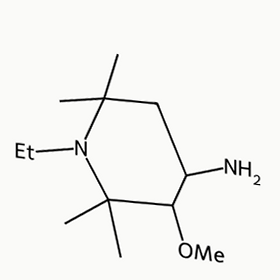 CCN1C(C)(C)CC(N)C(OC)C1(C)C